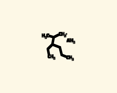 [AlH3].[CH2]C(C)C(CC)CCC